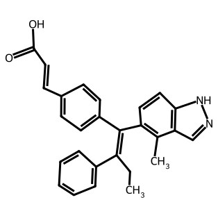 CCC(=C(c1ccc(C=CC(=O)O)cc1)c1ccc2[nH]ncc2c1C)c1ccccc1